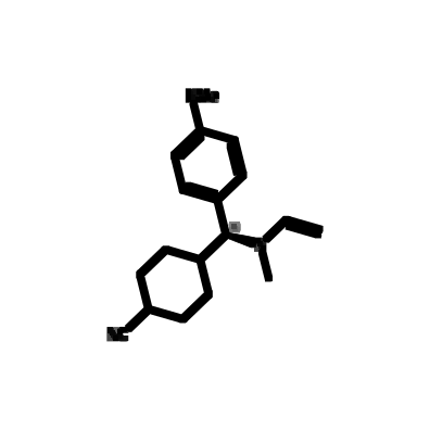 C=CN(C)[C@H](c1ccc(NC)cc1)C1CCC(C#N)CC1